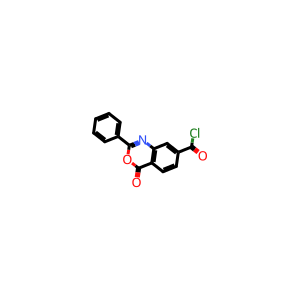 O=C(Cl)c1ccc2c(=O)oc(-c3ccccc3)nc2c1